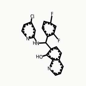 Oc1c(C(Nc2cc(Cl)ccn2)c2ccc(F)cc2F)ccc2cccnc12